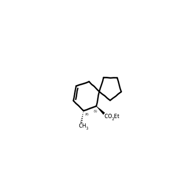 CCOC(=O)[C@H]1[C@H](C)C=CCC12CCCC2